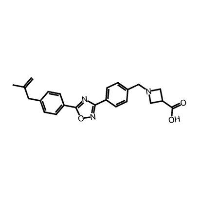 C=C(C)Cc1ccc(-c2nc(-c3ccc(CN4CC(C(=O)O)C4)cc3)no2)cc1